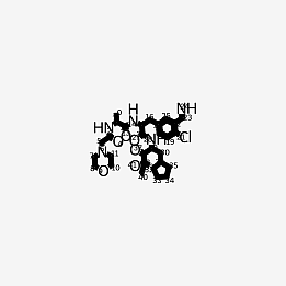 CC(NC(=O)CN1CCOCC1)C(=O)NC(Cc1ccc(Cl)c(C=N)c1)C(=O)NC(CC1CCCC1)C(=O)C1(C)CO1